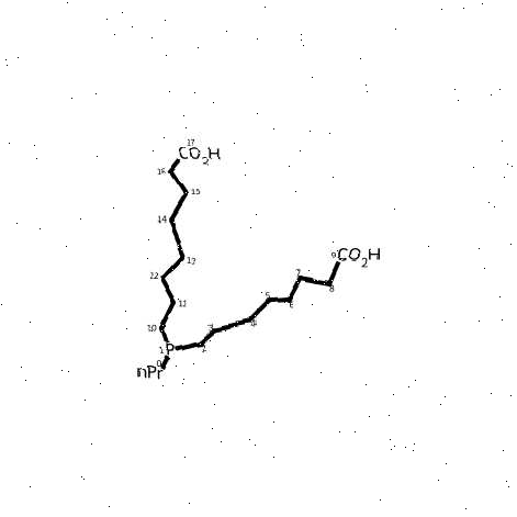 CCCP(CCCCCCCC(=O)O)CCCCCCCC(=O)O